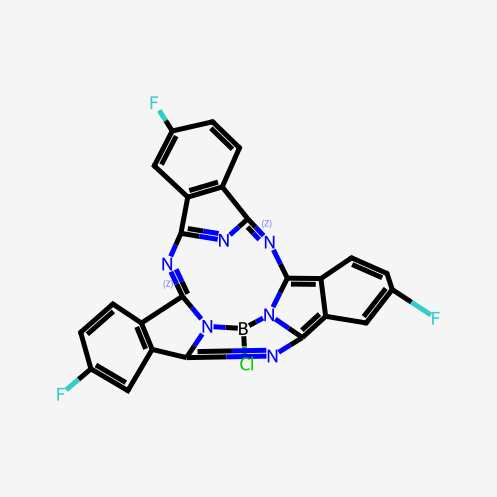 Fc1ccc2c(c1)C1=NC/2=N\c2c3ccc(F)cc3c3n2B(Cl)n2c(c4cc(F)ccc4/c2=N/1)=N3